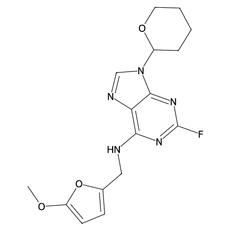 COc1ccc(CNc2nc(F)nc3c2ncn3C2CCCCO2)o1